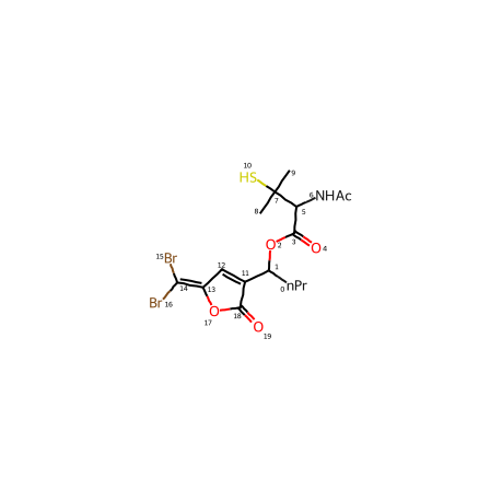 CCCC(OC(=O)C(NC(C)=O)C(C)(C)S)C1=CC(=C(Br)Br)OC1=O